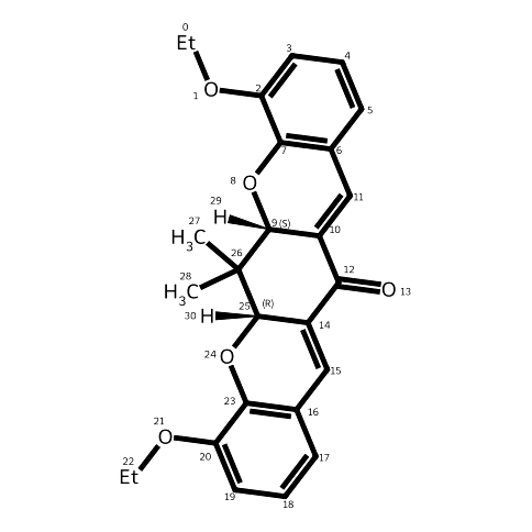 CCOc1cccc2c1O[C@@H]1C(=C2)C(=O)C2=Cc3cccc(OCC)c3O[C@@H]2C1(C)C